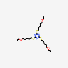 C=COCCCCCSc1nc(SCCCCCOC=C)nc(SCCCCCOC=C)n1